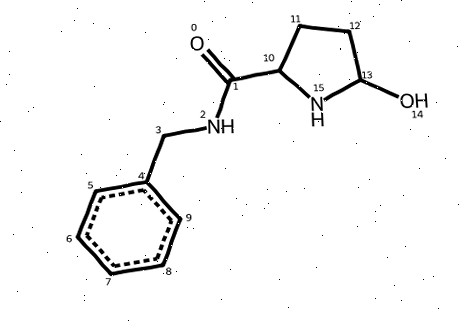 O=C(NCc1ccccc1)C1CCC(O)N1